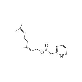 CC(C)=CCCC(C)=CCOC(=O)Cc1ccccn1